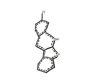 Clc1ccc2cc3c4ccccc4nc-3[nH]c2c1